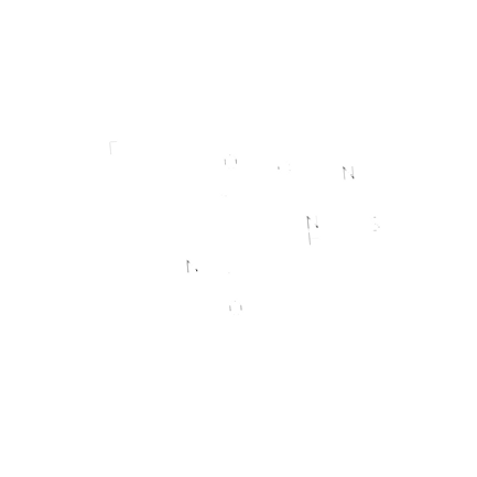 CN1C(=O)CC(C(=O)Nc2nccs2)C(=O)c2cc(F)ccc21